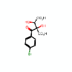 O=C(O)[C@H](O)[C@@](O)(C(=O)O)C(=O)c1ccc(Br)cc1